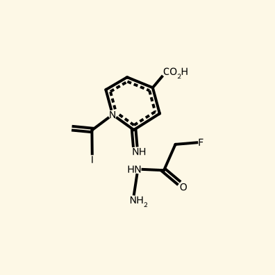 C=C(I)n1ccc(C(=O)O)cc1=N.NNC(=O)CF